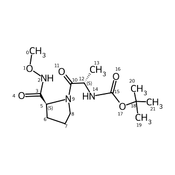 CONC(=O)[C@@H]1CCCN1C(=O)[C@H](C)NC(=O)OC(C)(C)C